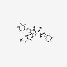 CC(C)CN1CC2CC3(C(=O)NCc4ccccc4)NCC2C1C3Cc1ccccc1